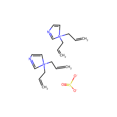 C=CC[N+]1(CC=C)C=CN=C1.C=CC[N+]1(CC=C)C=CN=C1.O=S([O-])[O-]